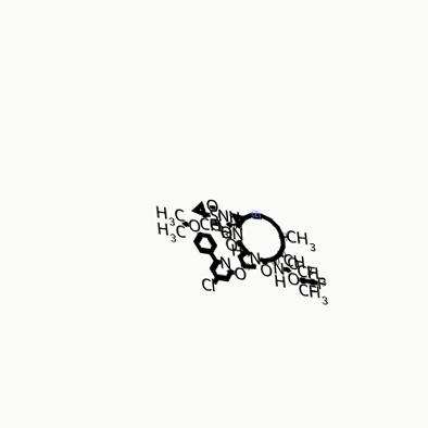 CC(C)Oc1ccc(-c2cc(Cl)cc(O[C@@H]3C[C@H]4C(=O)N[C@]5(C(=O)NS(=O)(=O)C6(C)CC6)CC5/C=C\CC[C@H](C)C[C@@H](C)[C@H](NC(=O)OC(C)(C)C(F)(F)F)C(=O)N4C3)n2)cc1